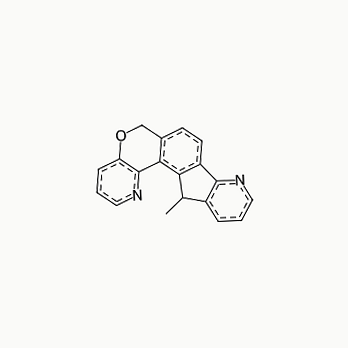 CC1c2cccnc2-c2ccc3c(c21)-c1ncccc1OC3